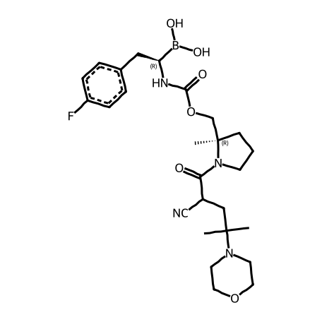 CC(C)(CC(C#N)C(=O)N1CCC[C@]1(C)COC(=O)N[C@@H](Cc1ccc(F)cc1)B(O)O)N1CCOCC1